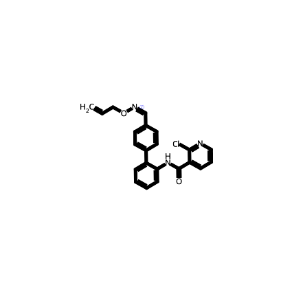 C=CCO/N=C\c1ccc(-c2ccccc2NC(=O)c2cccnc2Cl)cc1